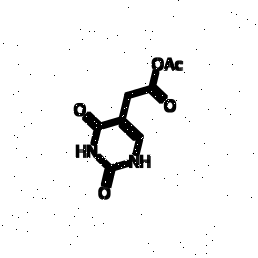 CC(=O)OC(=O)Cc1c[nH]c(=O)[nH]c1=O